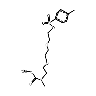 Cc1ccc(S(=O)(=O)OCCOCCOCCN(C)C(=O)OC(C)(C)C)cc1